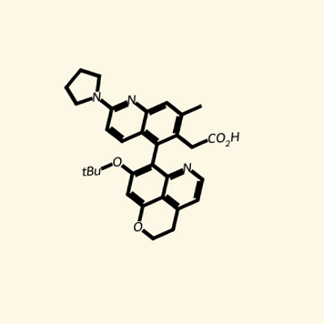 Cc1cc2nc(N3CCCC3)ccc2c(-c2c(OC(C)(C)C)cc3c4c(ccnc24)CCO3)c1CC(=O)O